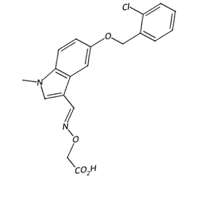 Cn1cc(C=NOCC(=O)O)c2cc(OCc3ccccc3Cl)ccc21